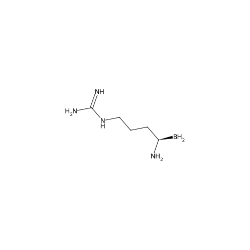 B[C@@H](N)CCCNC(=N)N